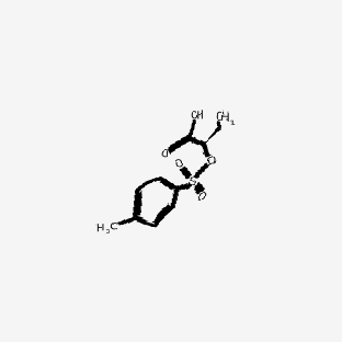 CC[C@@H](OS(=O)(=O)c1ccc(C)cc1)C(=O)O